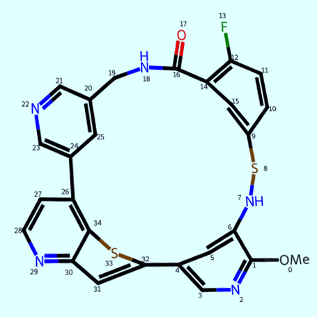 COc1ncc2cc1NSc1ccc(F)c(c1)C(=O)NCc1cncc(c1)-c1ccnc3cc-2sc13